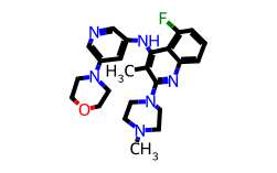 Cc1c(N2CCN(C)CC2)nc2cccc(F)c2c1Nc1cncc(N2CCOCC2)c1